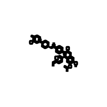 C=C(/C=C\C(Cl)=C/C)[C@@H]1c2cc(OC(C)C)c(OC)cc2CC(=O)N1c1ccc(N(C)C[C@H]2CC[C@H](N3CCN(C)C(=O)C3)CC2)cc1